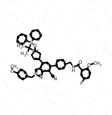 COc1ccc(Cn2cc3c(C4=CCC(O[Si](c5ccccc5)(c5ccccc5)C(C)(C)C)C4)cc(-c4ccc(CNC(=O)c5cc(F)ccc5OC)cc4)c(C#N)c3n2)cc1